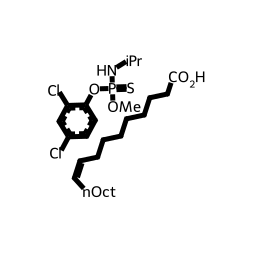 CCCCCCCC/C=C\CCCCCCCC(=O)O.COP(=S)(NC(C)C)Oc1ccc(Cl)cc1Cl